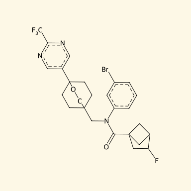 O=C(N(CC12CCC(c3cnc(C(F)(F)F)nc3)(CC1)OC2)c1cccc(Br)c1)C12CC(F)C(C1)C2